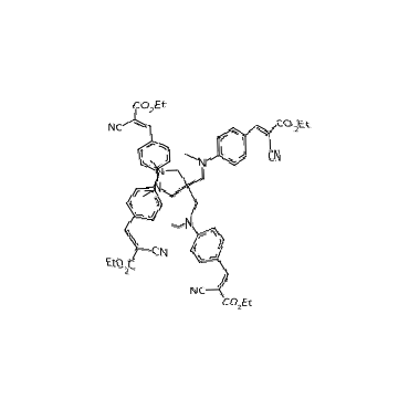 CCOC(=O)/C(C#N)=C/c1ccc(N(C)CC(CN(C)c2ccc(/C=C(\C#N)C(=O)OCC)cc2)(CN(C)c2ccc(/C=C(\C#N)C(=O)OCC)cc2)CN(C)c2ccc(/C=C(\C#N)C(=O)OCC)cc2)cc1